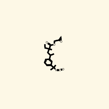 CCC(C)(CC(C)c1cccc(C(C)(C)N=C=O)c1)C(=O)OCC1CO1